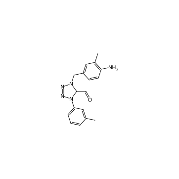 Cc1cccc(N2N=NN(Cc3ccc(N)c(C)c3)C2C=O)c1